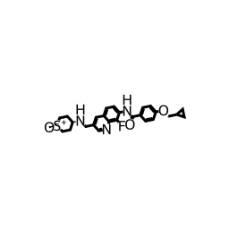 O=C(Nc1ccc2cc(CN[C@H]3CC[S@+]([O-])CC3)cnc2c1F)c1ccc(OCC2CC2)cc1